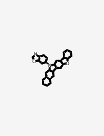 c1ccc2cc3c(cc2c1)c1cc2oc4ccccc4c2cc1n3-c1ccc2ncoc2c1